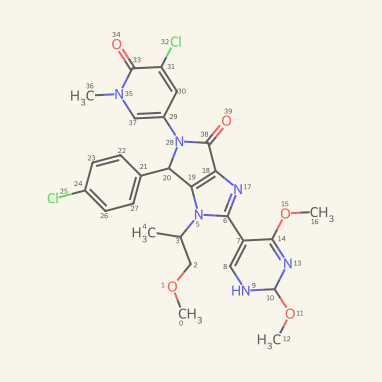 COCC(C)n1c(C2=CNC(OC)N=C2OC)nc2c1C(c1ccc(Cl)cc1)N(c1cc(Cl)c(=O)n(C)c1)C2=O